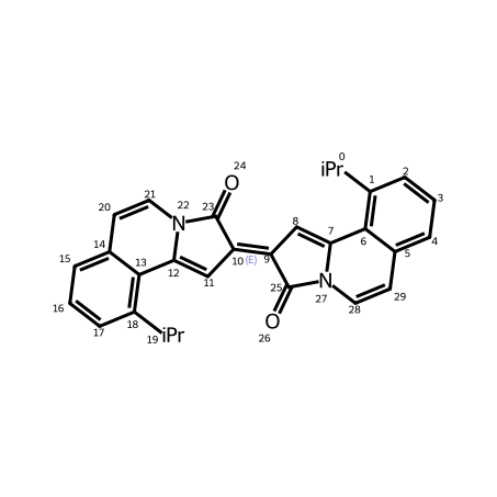 CC(C)c1cccc2c1C1=C/C(=C3/C=C4c5c(cccc5C(C)C)C=CN4C3=O)C(=O)N1C=C2